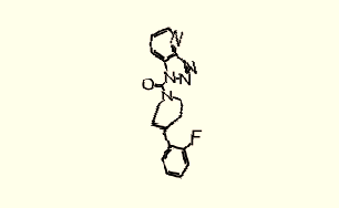 O=C(N1CCC(c2ccccc2F)CC1)n1nnc2ncccc21